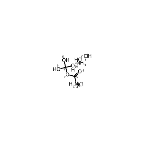 Cl.Cl.Cl.N.NC(=O)OC(O)(O)O